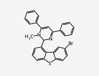 CN1C(c2ccccc2)=CC(c2ccccc2)=NC1c1cccc2sc3ccc(Br)cc3c12